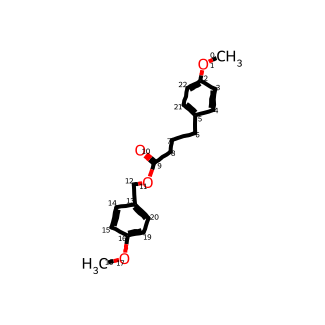 COc1ccc(CCCC(=O)OCc2ccc(OC)cc2)cc1